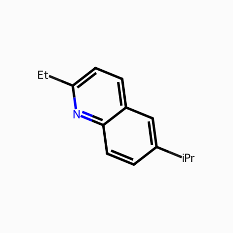 CCc1ccc2cc(C(C)C)ccc2n1